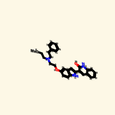 COCCN(CCOc1ccc2[nH]c(-c3cc4ccccc4[nH]c3=O)cc2c1)CCc1ccccc1